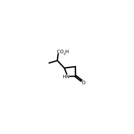 CC(C(=O)O)C1CC(=O)N1